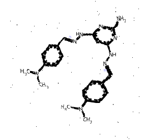 CN(C)c1ccc(/C=N/Nc2cc(N/N=C/c3ccc(N(C)C)cc3)nc(N)n2)cc1